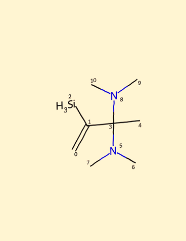 C=C([SiH3])C(C)(N(C)C)N(C)C